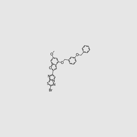 COc1cc(OCc2cccc(OCc3ccccc3)c2)c2cc(-c3cn4nc(Br)sc4n3)oc2c1